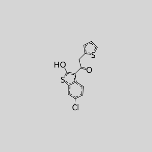 O=C(Cc1cccs1)c1c(O)sc2cc(Cl)ccc12